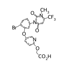 Cn1c(C(F)(F)F)cc(=O)n(-c2ccc(Br)c(Oc3ccc(OCC(=O)O)nc3)c2)c1=O